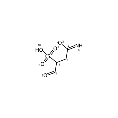 N=C([O])CC([C]=O)S(=O)(=O)O